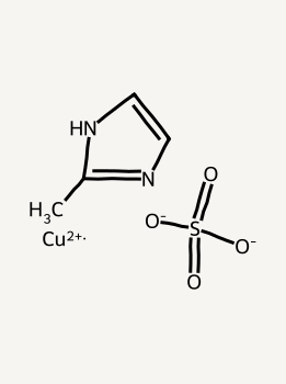 Cc1ncc[nH]1.O=S(=O)([O-])[O-].[Cu+2]